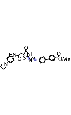 COC(=O)c1ccc(-c2ccc(/C=N/N=C3\NC(=O)C(CC(=O)Nc4ccc(N5CCCC5)cc4)S3)cc2)cc1